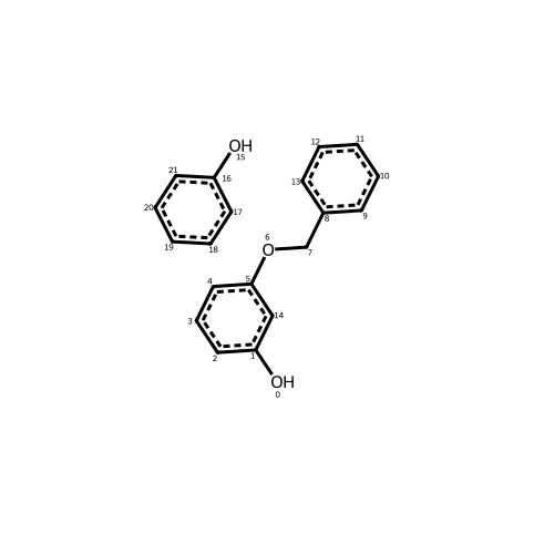 Oc1cccc(OCc2ccccc2)c1.Oc1ccccc1